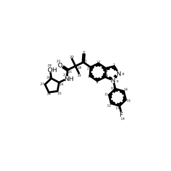 C=C(c1ccc2c(cnn2-c2ccc(F)cc2)c1)C(C)(C)C(=O)NC1CCCC1O